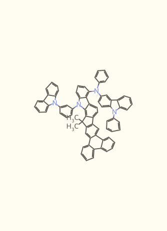 CC1(C)c2cc3c4ccccc4c4ccccc4c3cc2-c2ccc3c4c(N(c5ccccc5)c5ccc6c(c5)c5ccccc5n6-c5ccccc5)cccc4n(-c4cccc(-n5c6ccccc6c6ccccc65)c4)c3c21